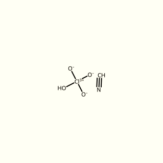 C#N.[O-][Cl+3]([O-])([O-])O